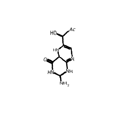 CC(=O)C(O)C1=CN=C2NC(N)NC(=O)C2N1